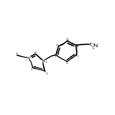 C[n+]1ccn(-c2ccc(C#N)cc2)c1